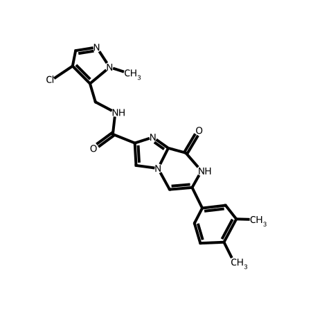 Cc1ccc(-c2cn3cc(C(=O)NCc4c(Cl)cnn4C)nc3c(=O)[nH]2)cc1C